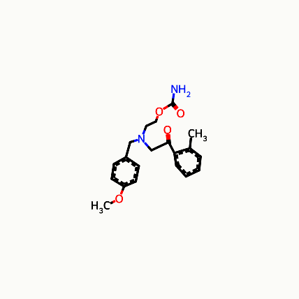 COc1ccc(CN(CCOC(N)=O)CC(=O)c2ccccc2C)cc1